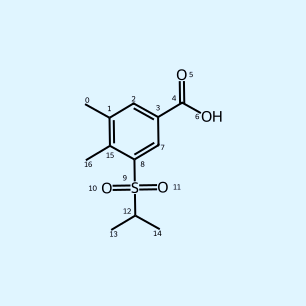 Cc1cc(C(=O)O)cc(S(=O)(=O)C(C)C)c1C